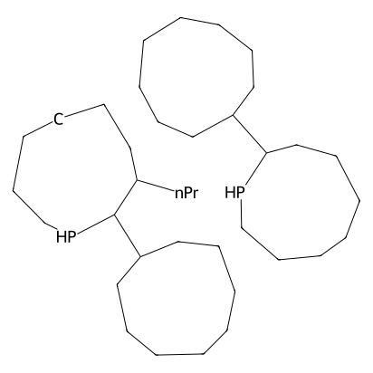 C1CCCCC(C2CCCCCCCP2)CCC1.CCCC1CCCCCCPC1C1CCCCCCCC1